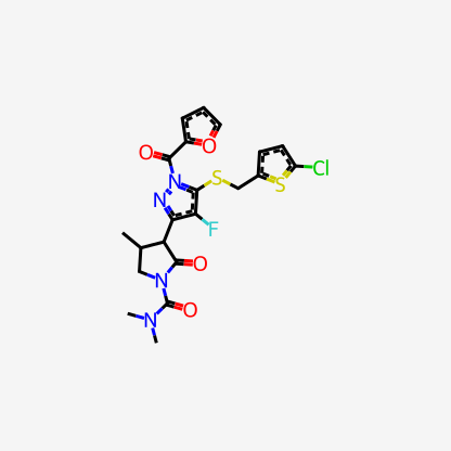 CC1CN(C(=O)N(C)C)C(=O)C1c1nn(C(=O)c2ccco2)c(SCc2ccc(Cl)s2)c1F